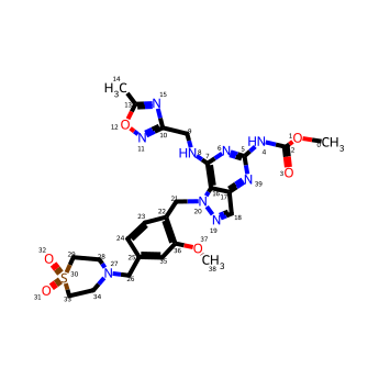 COC(=O)Nc1nc(NCc2noc(C)n2)c2c(cnn2Cc2ccc(CN3CCS(=O)(=O)CC3)cc2OC)n1